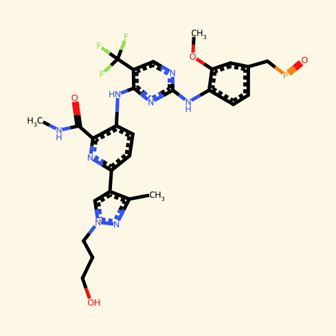 CNC(=O)c1nc(-c2cn(CCCO)nc2C)ccc1Nc1nc(Nc2ccc(CP=O)cc2OC)ncc1C(F)(F)F